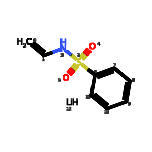 C=CNS(=O)(=O)c1ccccc1.[LiH]